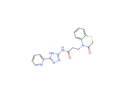 O=C(CCN1C(=O)CSc2ccccc21)Nc1nnc(-c2ccccn2)[nH]1